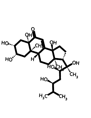 CC(C)[C@@H](O)C[C@@H](O)[C@](C)(O)[C@H]1CC[C@@]2(O)C3=CC(=O)[C@]4(O)C[C@@H](O)[C@@H](O)C[C@]4(C)[C@H]3CC[C@]12C